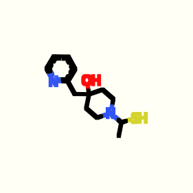 CC(S)N1CCC(O)(Cc2ccccn2)CC1